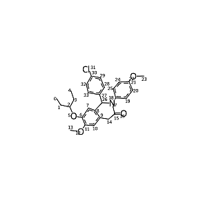 CCC(CC)Oc1cc2c(cc1OC)CC(=O)N(c1ccc(OC)cc1)C2c1ccc(Cl)cc1